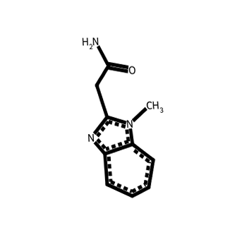 Cn1c(CC(N)=O)nc2ccccc21